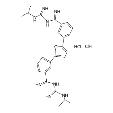 CC(C)NC(=N)NC(=N)c1cccc(-c2ccc(-c3cccc(C(=N)NC(=N)NC(C)C)c3)o2)c1.Cl.Cl